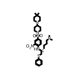 CN(C)CCCC[C@H](CSc1ccccc1)Nc1ccc(S(=O)(=O)N2CCC(N3CCC(C)(C)CC3)CC2)cc1[N+](=O)[O-]